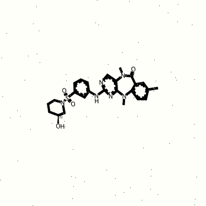 Cc1ccc2c(c1)C(=O)N(C)c1cnc(Nc3cccc(S(=O)(=O)N4CCC[C@H](O)C4)c3)nc1N2C